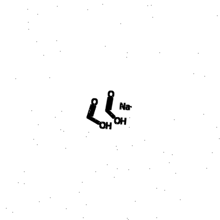 O=CO.O=CO.[Na]